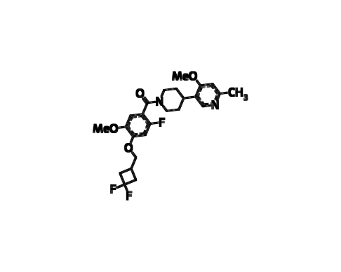 COc1cc(C(=O)N2CCC(c3cnc(C)cc3OC)CC2)c(F)cc1OCC1CC(F)(F)C1